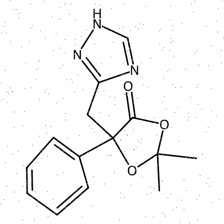 CC1(C)OC(=O)C(Cc2nc[nH]n2)(c2ccccc2)O1